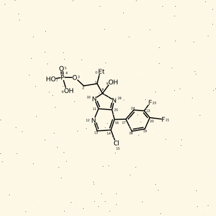 CCC(COP(=O)(O)O)C1(O)N=c2ncc(Cl)c(-c3ccc(F)c(F)c3)c2=N1